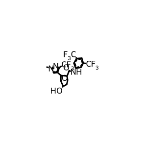 Cn1cc(C2C3OC(CC3O)C2C(=O)Nc2cc(C(F)(F)F)cc(C(F)(F)F)c2)c(C(F)(F)F)n1